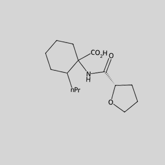 CCCC1CCCCC1(NC(=O)[C@@H]1CCCO1)C(=O)O